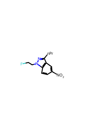 CCCc1nn(CCF)c2ccc([N+](=O)[O-])cc12